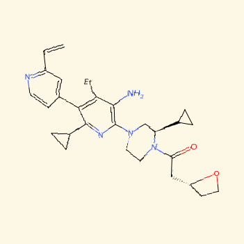 C=Cc1cc(-c2c(C3CC3)nc(N3CCN(C(=O)C[C@H]4CCO4)[C@H](C4CC4)C3)c(N)c2CC)ccn1